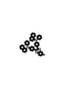 Cc1ccc2nc(-c3ccc(N(c4ccccc4)c4cccc5ccccc45)cc3)c(-c3ccc(N(c4ccccc4)c4cccc5ccccc45)cc3)nc2c1